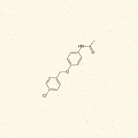 CC(=O)Nc1ccc(OCc2ccc(Cl)cc2)cc1